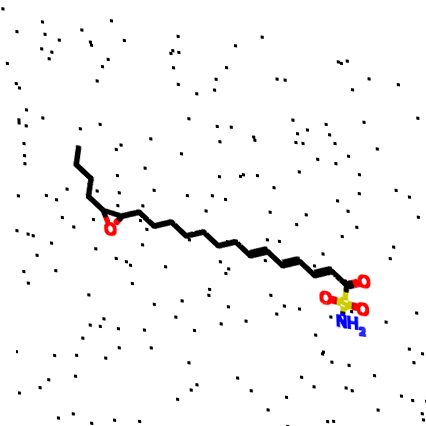 CCCCC1OC1CCCCCCCC=CC=CC=CC(=O)S(N)(=O)=O